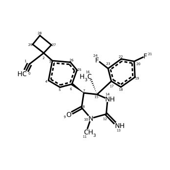 C#CC1(c2ccc([C@@H]3C(=O)N(C)C(=N)N[C@]3(C)c3ccc(F)cc3F)cc2)CCC1